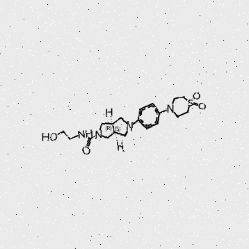 O=C(NCCO)N1C[C@@H]2CN(c3ccc(N4CCS(=O)(=O)CC4)cc3)C[C@@H]2C1